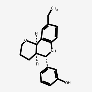 CCc1ccc2c(c1)[C@@H]1OCCC[C@@H]1[C@@H](c1cccc(O)c1)N2